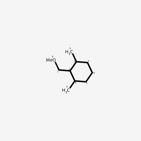 COCC1C(C)CCCC1C